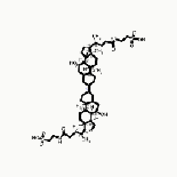 C[C@@H](CCC(=O)NCCS(=O)(=O)O)[C@H]1CC[C@@H]2[C@H]3[C@H](O)CC4C/C(=C5\CC[C@@]6(C)C(C5)C[C@H](O)[C@H]5[C@@H]7CC[C@H]([C@@H](C)CCC(=O)NCCS(=O)(=O)O)[C@@]7(C)CC[C@@H]56)CC[C@@]4(C)[C@@H]3CC[C@]21C